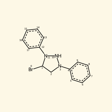 BrC1CN(c2ccccc2)NN1c1ccccc1